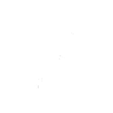 C1=CC[C]([Zr+2][CH]2C(p3cccc3)=Cc3ccccc32)=C1.[Cl-].[Cl-]